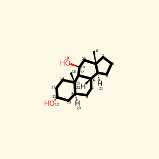 C[C@@]12CCC[C@H]1[C@@H]1CC[C@H]3C[C@H](O)CC[C@]3(C)C1[C@@H](O)C2